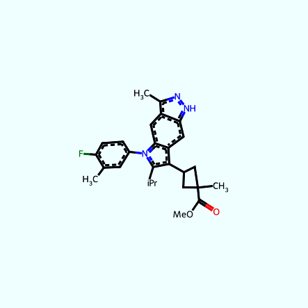 COC(=O)C1(C)CC(c2c(C(C)C)n(-c3ccc(F)c(C)c3)c3cc4c(C)n[nH]c4cc23)C1